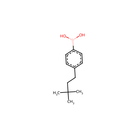 CC(C)(C)CCc1ccc(B(O)O)cc1